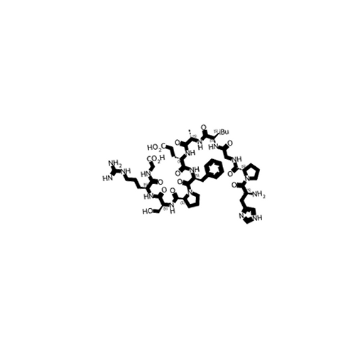 CC[C@H](C)[C@H](NC(=O)CNC(=O)[C@@H]1CCCN1C(=O)[C@@H](N)Cc1c[nH]cn1)C(=O)N[C@@H](C)C(=O)N[C@@H](CCC(=O)O)C(=O)N[C@@H](Cc1ccccc1)C(=O)N1CCC[C@H]1C(=O)N[C@@H](CO)C(=O)N[C@@H](CCCNC(=N)N)C(=O)NCC(=O)O